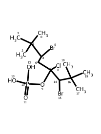 CC(C)(C)C(Br)CC(Cl)(OP(=O)(O)O)C(Br)C(C)(C)C